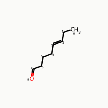 CC/C=C/CCC[C]=O